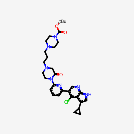 CC(C)(C)OC(=O)N1CCN(CCCN2CCN(c3cccc(-c4cnc5[nH]cc(C6CC6)c5c4Cl)n3)C(=O)C2)CC1